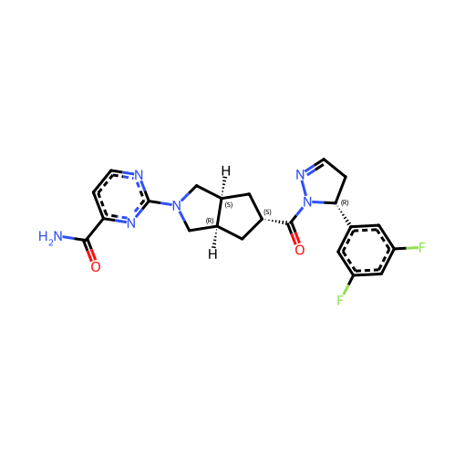 NC(=O)c1ccnc(N2C[C@H]3C[C@H](C(=O)N4N=CC[C@@H]4c4cc(F)cc(F)c4)C[C@H]3C2)n1